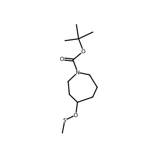 CSOC1CCCN(C(=O)OC(C)(C)C)CC1